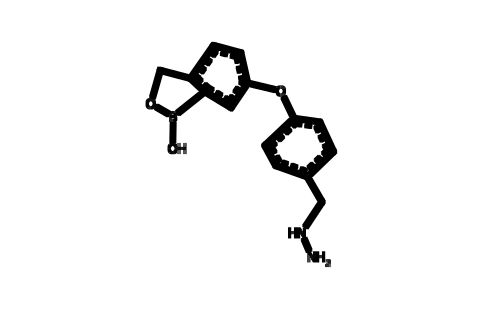 NNCc1ccc(Oc2ccc3c(c2)B(O)OC3)cc1